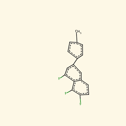 Cc1ccc(-c2cc(F)c3c(F)c(F)ccc3c2)cc1